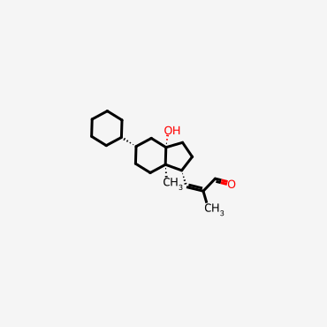 CC(C=O)=C[C@H]1CC[C@]2(O)C[C@@H](C3CCCCC3)CC[C@]12C